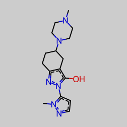 CN1CCN(C2CCc3nn(-c4ccnn4C)c(O)c3C2)CC1